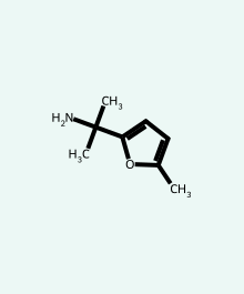 Cc1ccc(C(C)(C)N)o1